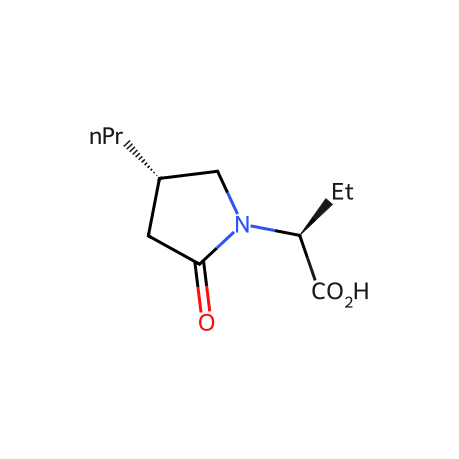 CCC[C@H]1CC(=O)N([C@@H](CC)C(=O)O)C1